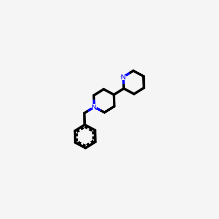 c1ccc(CN2CCC(C3CCCC[N]3)CC2)cc1